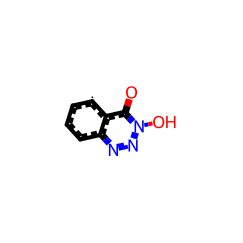 O=c1c2[c]cccc2nnn1O